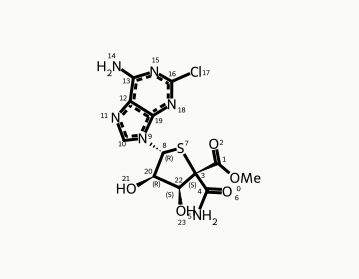 COC(=O)[C@]1(C(N)=O)S[C@@H](n2cnc3c(N)nc(Cl)nc32)[C@H](O)[C@@H]1O